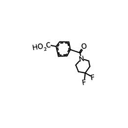 O=C(O)c1ccc(C(=O)N2CCC(F)(F)CC2)cc1